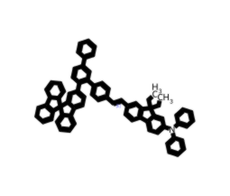 CCC1(CC)c2cc(/C=C/c3ccc(-c4cc(-c5ccccc5)ccc4-c4ccc5c(c4)C4(C6=C(CCC=C6)C6C=CC=CC64)c4ccccc4-5)cc3)ccc2-c2ccc(N(c3ccccc3)c3ccccc3)cc21